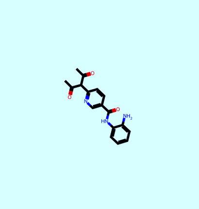 CC(=O)C(C(C)=O)c1ccc(C(=O)Nc2ccccc2N)cn1